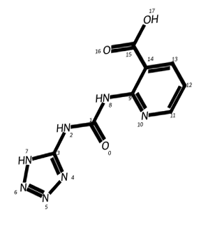 O=C(Nc1nnn[nH]1)Nc1ncccc1C(=O)O